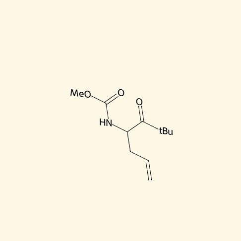 C=CCC(NC(=O)OC)C(=O)C(C)(C)C